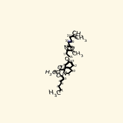 CCCCC=CC(=O)N1CCc2ccc(OCCc3nc(/C=C/CC(C)C)oc3C)cc2C1C(=O)OC